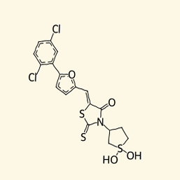 O=C1C(=Cc2ccc(-c3cc(Cl)ccc3Cl)o2)SC(=S)N1C1CCS(O)(O)C1